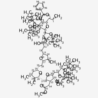 C=CCC1O[C@@H](C(/C=C/C(O)CCC2CC(=C)C(CC[C@H]3C[C@@H](C)C(=C)[C@@H](C[C@@H]4OC(CC(CO[Si](C)(C)C(C)(C)C)O[Si](C)(C)C(C)(C)C)[C@H](OC)C4CC(=O)OC)O3)O2)O[Si](C)(C)C(C)(C)C)C(O[Si](C)(C)C(C)(C)C)C(O[Si](C)(C)C(C)(C)C)[C@H]1OC(=O)c1ccccc1